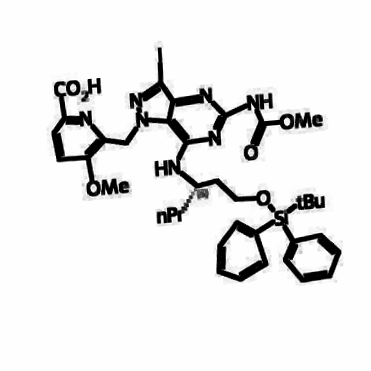 CCC[C@@H](CCO[Si](c1ccccc1)(c1ccccc1)C(C)(C)C)Nc1nc(NC(=O)OC)nc2c(I)nn(Cc3nc(C(=O)O)ccc3OC)c12